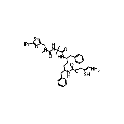 CC(C)c1nc(CN(C)C(=O)NC(C)(C)C(=O)N[C@H](CC[C@H](Cc2ccccc2)NC(=O)OC/C(S)=C/N)Cc2ccccc2)cs1